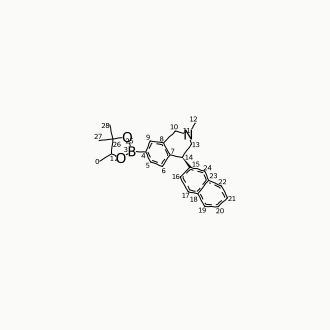 CC1OB(c2ccc3c(c2)CN(C)C[C@H]3c2ccc3ccccc3c2)OC1(C)C